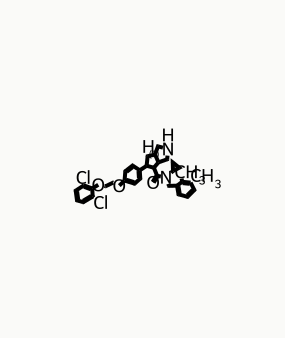 Cc1cccc(CN(C(=O)C2C(c3ccc(OCCOc4c(Cl)cccc4Cl)cc3)C[C@@H]3CNCC23)C2CC2)c1C